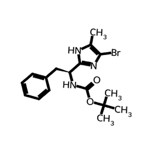 Cc1[nH]c([C@H](Cc2ccccc2)NC(=O)OC(C)(C)C)nc1Br